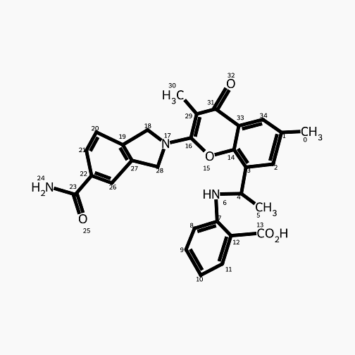 Cc1cc(C(C)Nc2ccccc2C(=O)O)c2oc(N3Cc4ccc(C(N)=O)cc4C3)c(C)c(=O)c2c1